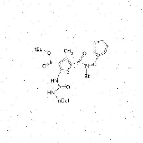 CCCCCCCCNC(=O)Nc1sc(C(=O)N(CC)Oc2ccccc2)c(C)c1C(=O)OC(C)(C)C